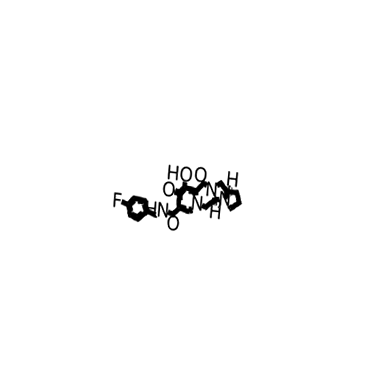 O=C(NCc1ccc(F)cc1)c1cn2c(c(O)c1=O)C(=O)N1C[C@H]3CCCN3[C@@H]1C2